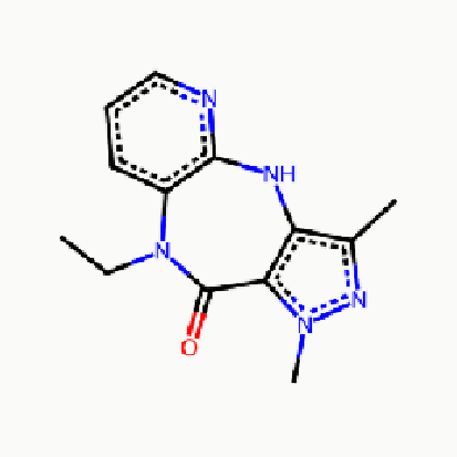 CCN1C(=O)c2c(c(C)nn2C)Nc2ncccc21